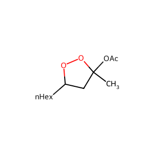 CCCCCCC1CC(C)(OC(C)=O)OO1